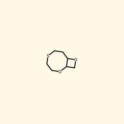 C1CSCCC2OCC2O1